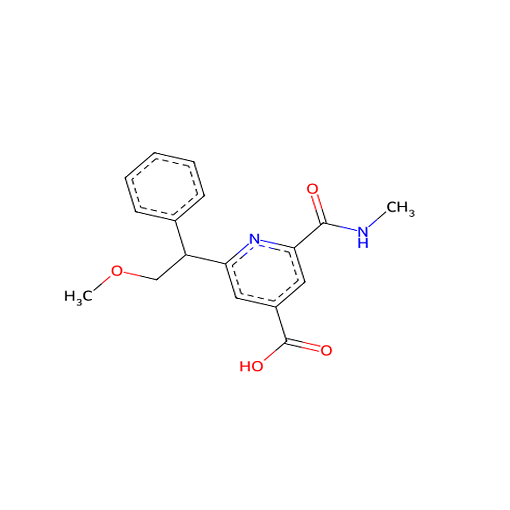 CNC(=O)c1cc(C(=O)O)cc(C(COC)c2ccccc2)n1